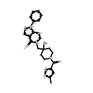 Cc1cc(C(=O)N2CCC(O)(Cn3cnc4c(cnn4-c4ccccc4)c3=O)CC2)no1